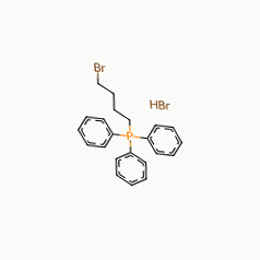 Br.BrCCCC[P](c1ccccc1)(c1ccccc1)c1ccccc1